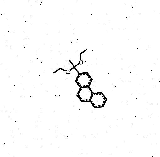 CCOC(C)(OCC)c1ccc2c(ccc3ccccc32)c1